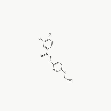 O=CCOc1ccc(/C=C/C(=O)c2ccc(Cl)c(Cl)c2)cc1